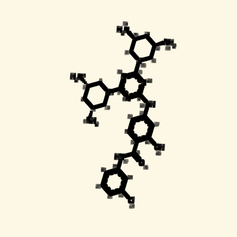 N[C@@H]1C[C@H](N)CN(c2nc(Nc3ccc(C(=O)Nc4cccc(Cl)c4)c(O)c3)nc(N3C[C@H](N)C[C@H](N)C3)n2)C1